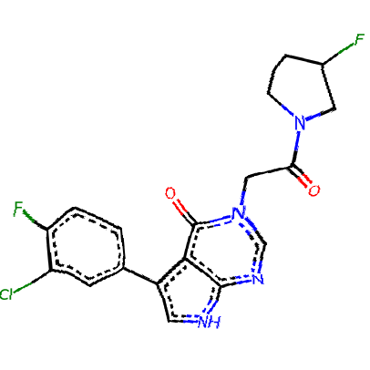 O=C(Cn1cnc2[nH]cc(-c3ccc(F)c(Cl)c3)c2c1=O)N1CCC(F)C1